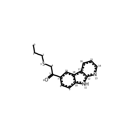 CCCSCC(=O)c1ccc2[nH]c3ncccc3c2c1